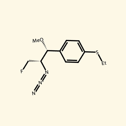 CCSc1ccc([C@@H](OC)[C@@H](CF)N=[N+]=[N-])cc1